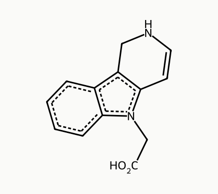 O=C(O)Cn1c2c(c3ccccc31)CNC=C2